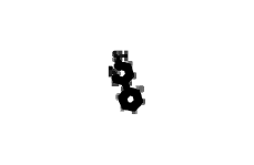 Sc1ccc(-c2ccccc2)cn1